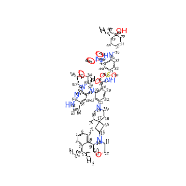 CC(C)c1ccccc1[C@@H]1COCCN1C1CC2(CCN(c3ccc(C(=O)NS(=O)(=O)c4ccc(NC[C@H]5CC[C@](C)(O)CC5)c([N+](=O)[O-])c4)c(N4C[C@@H]5COCCN5c5nc6[nH]ccc6cc54)c3)CC2)C1